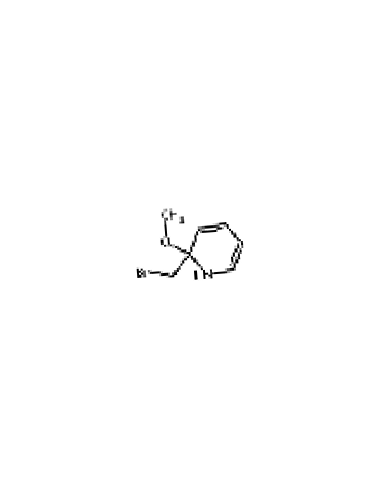 COC1(CBr)C=CC=CN1